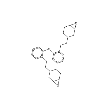 c1ccc(Oc2ccccc2CCC2CCC3OC3C2)c(CCC2CCC3OC3C2)c1